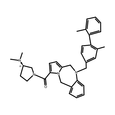 Cc1ccccc1-c1ccc(CN2Cc3ccc(C(=O)N4CC[C@@H](N(C)C)C4)n3Cc3ccccc32)cc1C